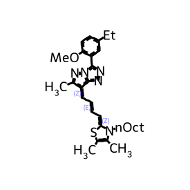 CCCCCCCCN1C(C)=C(C)S\C1=C/C=C/C=c1/c(C)nn2c(-c3cc(CC)ccc3OC)nnc12